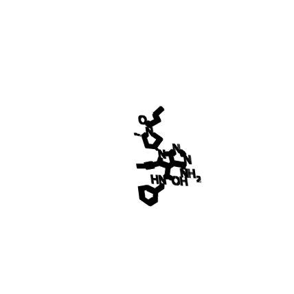 CC#Cc1c(C(O)NCc2ccccc2)c2c(N)ncnc2n1[C@@H]1C[C@H](C)N(C(=O)/C=C/C)C1